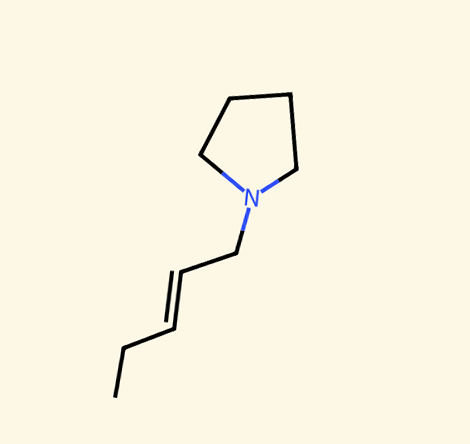 CCC=CCN1CCCC1